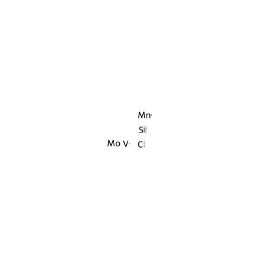 [C].[Mn].[Mo].[Si].[V]